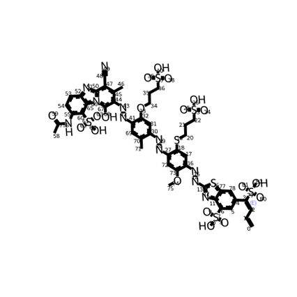 C=C/C=C(\c1cc(S(=O)(=O)O)c2nc(N=Nc3cc(SCCCS(=O)(=O)O)c(N=Nc4cc(OCCCS(=O)(=O)O)c(N=Nc5c(C)c(C#N)c6nc7ccc(NC(C)=O)c(S(=O)(=O)O)c7n6c5O)cc4C)cc3OC)sc2c1)S(=O)(=O)O